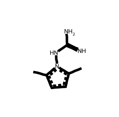 Cc1ccc(C)n1NC(=N)N